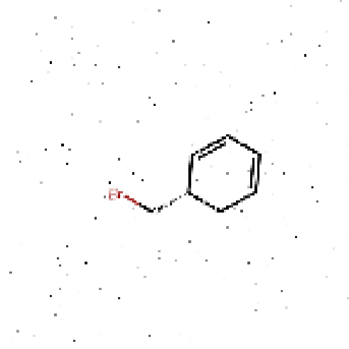 BrC[C@@H]1C=CC=CC1